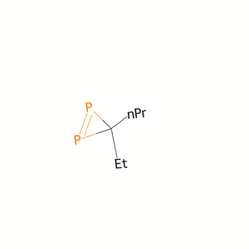 CCCC1(CC)P=P1